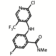 CNC(=O)c1cc(F)ccc1Nc1cc(Cl)ncc1C(F)(F)F